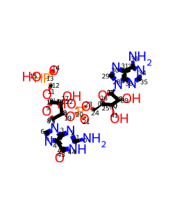 Nc1nc2c(ncn2[C@@H]2O[C@H](OC[PH](=O)O)[C@H](O)[C@@H]2OP(=O)(O)OC[C@H]2O[C@@H](n3cnc4c(N)ncnc43)[C@@H](O)[C@H]2O)c(=O)[nH]1